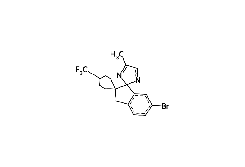 CC1=NC2(N=C1)c1cc(Br)ccc1CC21CCC(C(F)(F)F)CC1